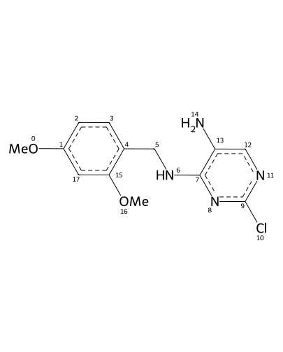 COc1ccc(CNc2nc(Cl)ncc2N)c(OC)c1